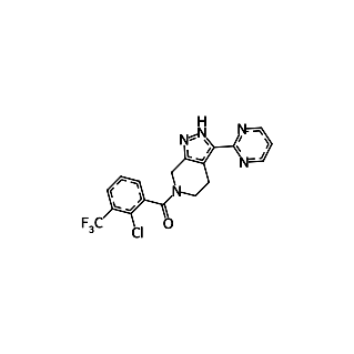 O=C(c1cccc(C(F)(F)F)c1Cl)N1CCc2c(n[nH]c2-c2ncccn2)C1